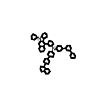 c1ccc(-c2cccc(-c3ccc(N(c4ccc(-c5ccc(-c6cccc7ccccc67)cc5)cc4)c4cccc(-c5c6ccccc6cc6c5c5ccccc5n6-c5ccccc5)c4)cc3)c2)cc1